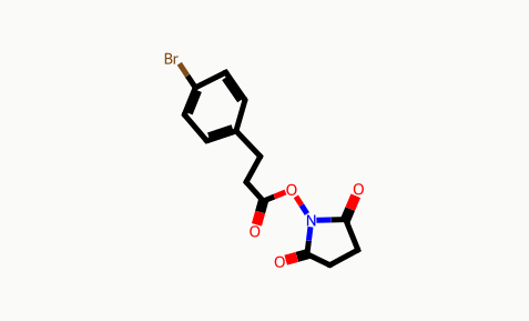 O=C(CCc1ccc(Br)cc1)ON1C(=O)CCC1=O